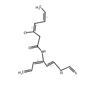 C=C/C=C(\C=C\NC=S)NC(=O)C/C(Cl)=C\C=C/C